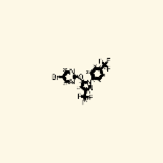 FC(F)(F)c1ccc(-n2nc(C(F)(F)F)cc2Oc2ncc(Br)cn2)cc1